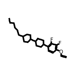 C=COc1ccc(C2CCC(C3CCC(CCCCCC)CC3)CC2)c(F)c1F